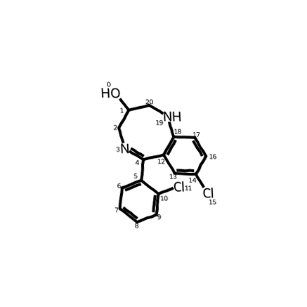 OC1CN=C(c2ccccc2Cl)c2cc(Cl)ccc2NC1